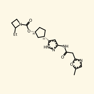 CCC1CCN1C(=O)O[C@@H]1CC[C@H](c2cc(NC(=O)Cc3ncc(C)o3)n[nH]2)C1